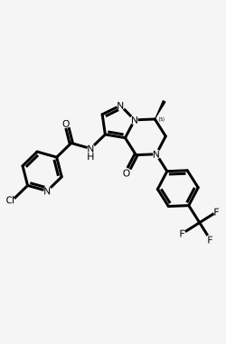 C[C@H]1CN(c2ccc(C(F)(F)F)cc2)C(=O)c2c(NC(=O)c3ccc(Cl)nc3)cnn21